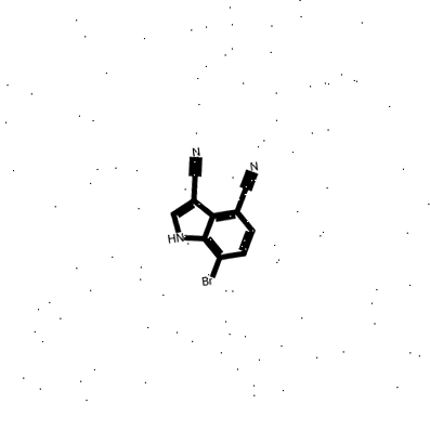 N#Cc1ccc(Br)c2[nH]cc(C#N)c12